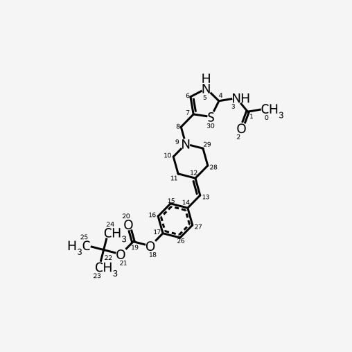 CC(=O)NC1NC=C(CN2CCC(=Cc3ccc(OC(=O)OC(C)(C)C)cc3)CC2)S1